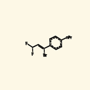 CCCc1ccc(C(Br)=CC(F)F)cc1